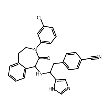 N#Cc1ccc(CC(NC2C(=O)N(c3cccc(Cl)c3)CCc3ccccc32)c2cnc[nH]2)cc1